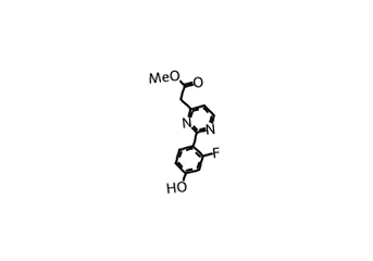 COC(=O)Cc1ccnc(-c2ccc(O)cc2F)n1